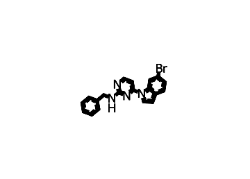 Brc1ccc2ccn(-c3ccnc(NCc4ccccc4)n3)c2c1